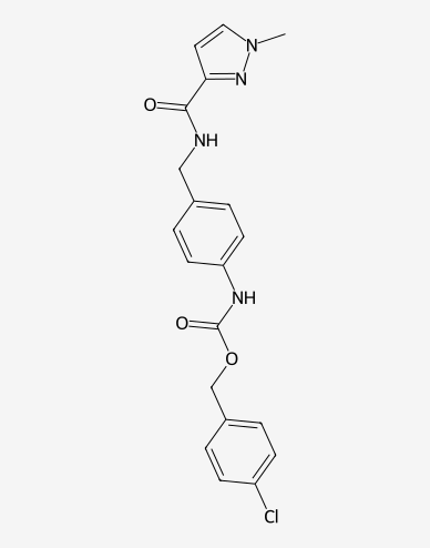 Cn1ccc(C(=O)NCc2ccc(NC(=O)OCc3ccc(Cl)cc3)cc2)n1